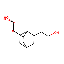 OCCC1CC2CC(CCO)C1C(CCO)C2